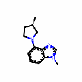 C[C@@H]1CCN(c2cccc3c2ncn3C)C1